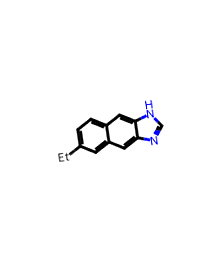 CCc1ccc2cc3[nH]cnc3cc2c1